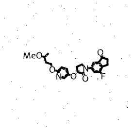 COC(C)CCOc1ccc(O[C@@H]2CCN(c3cc(F)c4c(c3)C(=O)CC4)C2=O)cn1